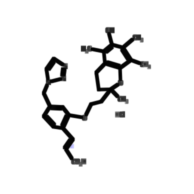 Cc1c(C)c2c(c(C)c1O)CCC(C)(CCOc1cc(Cn3ccnn3)ccc1/C=C/C(=O)O)O2.Cl